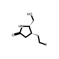 O=C1C[C@@H](CCF)[C@@H](CO)N1